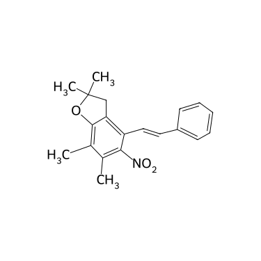 Cc1c(C)c([N+](=O)[O-])c(C=Cc2ccccc2)c2c1OC(C)(C)C2